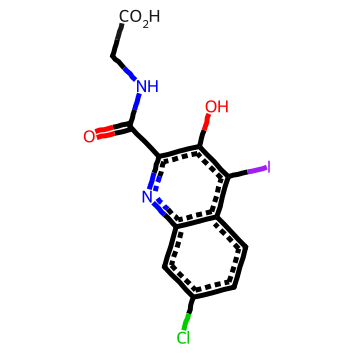 O=C(O)CNC(=O)c1nc2cc(Cl)ccc2c(I)c1O